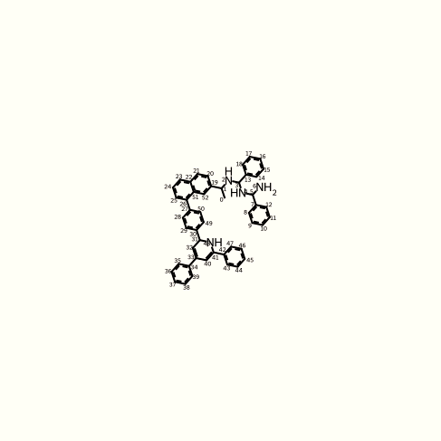 CC(NC(NC(N)c1ccccc1)c1ccccc1)c1ccc2cccc(-c3ccc(C4C=C(c5ccccc5)C=C(c5ccccc5)N4)cc3)c2c1